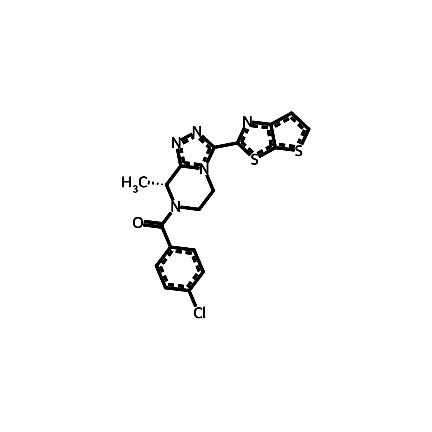 C[C@@H]1c2nnc(-c3nc4ccsc4s3)n2CCN1C(=O)c1ccc(Cl)cc1